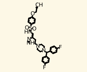 C#CCOc1ccc(S(=O)(=O)N/C=C(/CCN2CCN(C(c3ccc(F)cc3)c3ccc(F)cc3)CC2)N=N)cc1